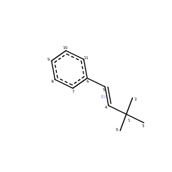 CC(C)(C)/C=C/c1ccccc1